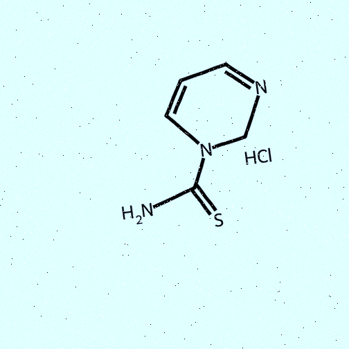 Cl.NC(=S)N1C=CC=NC1